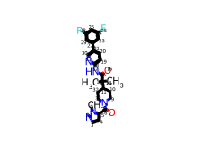 Cn1nccc1C(=O)N1CCC(C(C)(C)C(=O)Nc2ccc(-c3cc(F)cc(F)c3)cn2)CC1